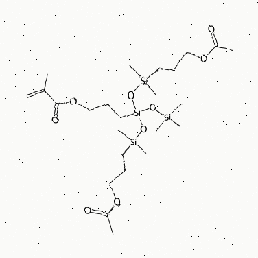 C=C(C)C(=O)OCCC[Si](O[Si](C)(C)C)(O[Si](C)(C)CCCOC(C)=O)O[Si](C)(C)CCCOC(C)=O